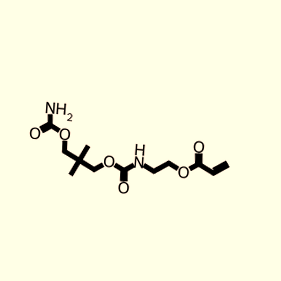 C=CC(=O)OCCNC(=O)OCC(C)(C)COC(N)=O